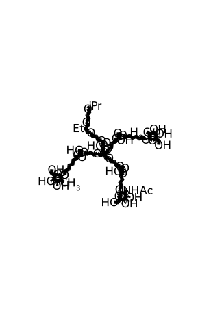 CCC(COCCCOC(C)C)COCCCOP(=O)(O)OCC(COCCCOP(=O)(O)OCCCCCCO[C@@H]1OC(CO)[C@H](O)[C@H](O)C1C)(COCCCOP(=O)(O)OCCCCCCO[C@@H]1OC(CO)[C@H](O)[C@H](O)C1C)COCCCOP(=O)(O)OCCCCO[C@@H]1OC(CO)[C@H](O)[C@H](O)C1NC(C)=O